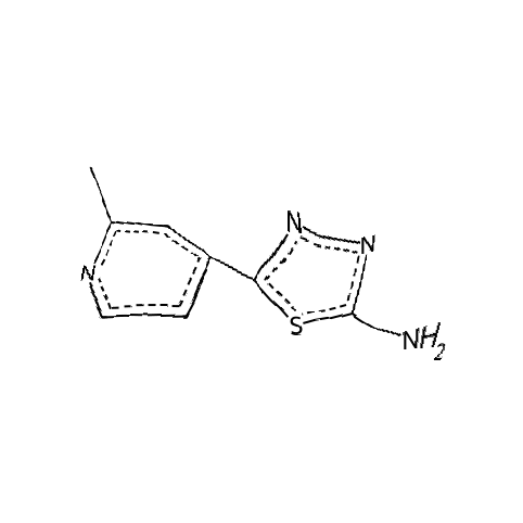 Cc1cc(-c2nnc(N)s2)ccn1